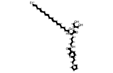 CCC=CCC=CCC=CCC=CCC=CCCCC(=O)N[C@@H](CCCCNC(=O)c1ccc(CCN2CCCC2)nc1)C(=O)OC(CO)CO